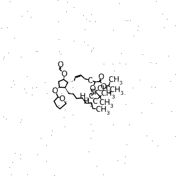 CCCCCCCC[C@@H]1[C@@H](C/C=C\CCC(O[Si](C)(C)C(C)(C)C)C(=O)OC(C)C)[C@H](OC=O)C[C@H]1OC1CCCCO1